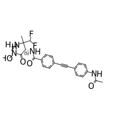 CC(=O)Nc1ccc(C#Cc2ccc(C(=O)N[C@H](C(=O)NO)C(C)(N)C(F)F)cc2)cc1